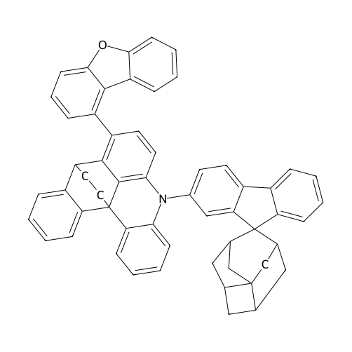 c1ccc2c(c1)-c1ccc(N3c4ccccc4C45CCC(c6ccccc64)c4c(-c6cccc7oc8ccccc8c67)ccc3c45)cc1C21C2CC3CC4CC1CC34C2